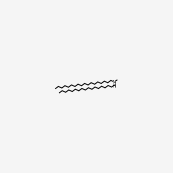 CCCCCCCCCCCCCCCCCC.CCCCCCCCCCCCCCCCCCNC